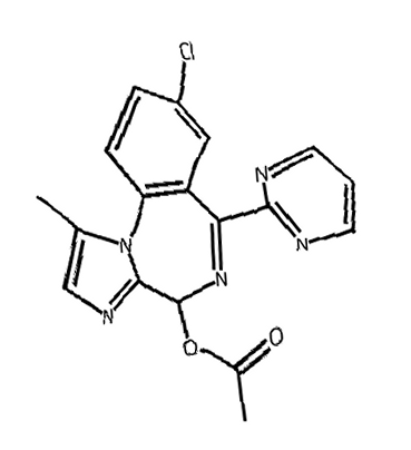 CC(=O)OC1N=C(c2ncccn2)c2cc(Cl)ccc2-n2c(C)cnc21